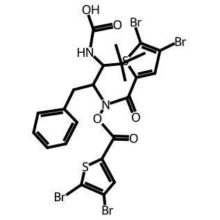 CC(C)(C)C(NC(=O)O)C(Cc1ccccc1)N(OC(=O)c1cc(Br)c(Br)s1)C(=O)c1cc(Br)c(Br)s1